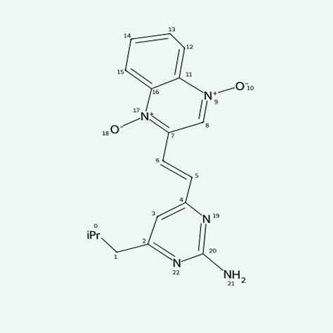 CC(C)Cc1cc(/C=C/c2c[n+]([O-])c3ccccc3[n+]2[O-])nc(N)n1